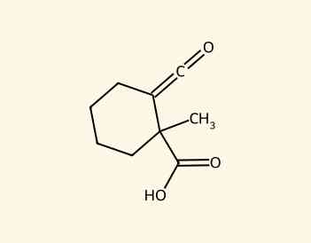 CC1(C(=O)O)CCCCC1=C=O